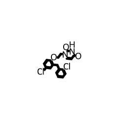 O=c1ccn(CCOc2ccc(Cl)cc2Cc2ccccc2Cl)c(=O)[nH]1